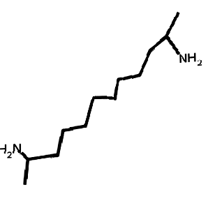 CC(N)CCCCCCCCC(C)N